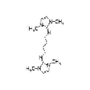 Cn1ccn(C)c1=NCCCCN=c1n(C)ccn1C